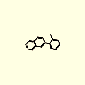 Cc1ccccc1-c1ccc2cnncc2c1